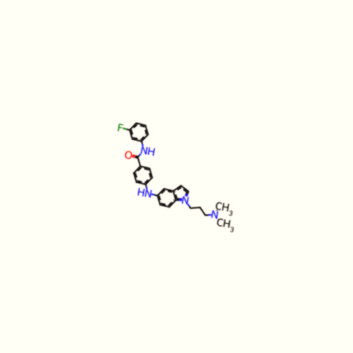 CN(C)CCCn1ccc2cc(Nc3ccc(C(=O)Nc4cccc(F)c4)cc3)ccc21